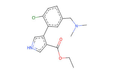 CCOC(=O)c1c[nH]cc1-c1cc(CN(C)C)ccc1Cl